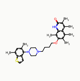 Bc1cc(B)c2sccc2c1N1CCN(CCCCOc2c(B)c(B)c3c(B)c(B)c(=O)[nH]c3c2B)CC1